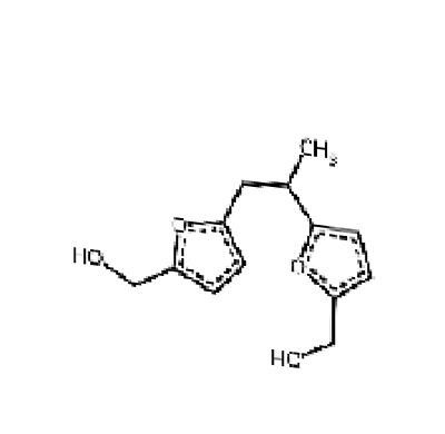 CC(Cc1ccc(CO)o1)c1ccc(CO)o1